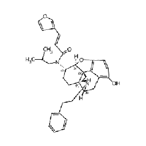 CC(C)CN(C(=O)C=Cc1ccoc1)[C@H]1CC[C@H]2[C@H]3Cc4c(O)ccc5c4[C@@]2(CCN3CCc2ccccc2)[C@@H]1O5